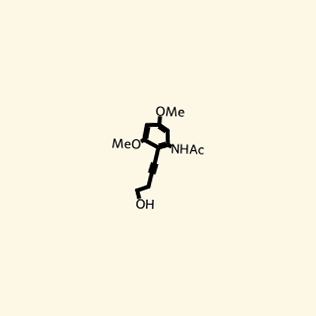 COc1cc(NC(C)=O)c(C#CCCO)c(OC)c1